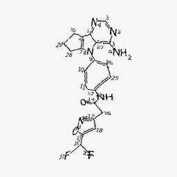 Nc1ncnc2c3c(n(-c4ccc(NC(=O)Cc5cc(C(F)F)on5)cc4)c12)CCC3